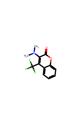 CN(C)c1c(C(F)(F)F)c2ccccc2oc1=O